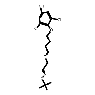 CC(C)(C)ON=CCOCCCCOc1c(Cl)cc(O)cc1Cl